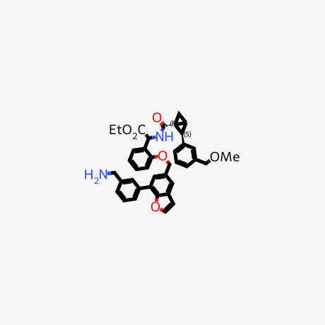 CCOC(=O)C(NC(=O)[C@]12CC1[C@H]2c1cccc(COC)c1)c1ccccc1OCc1cc(-c2cccc(CN)c2)c2occc2c1